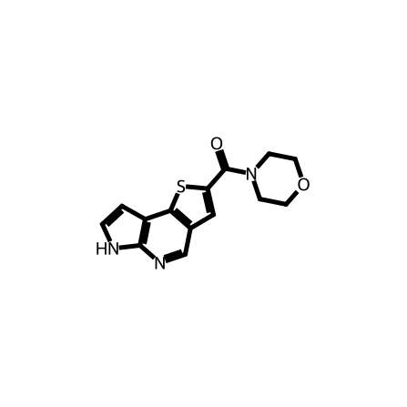 O=C(c1cc2cnc3[nH]ccc3c2s1)N1CCOCC1